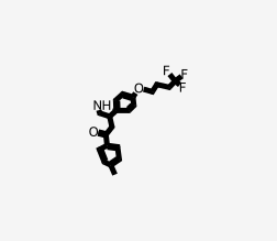 Cc1ccc(C(=O)CC(CN)c2ccc(OCCCC(F)(F)F)cc2)cc1